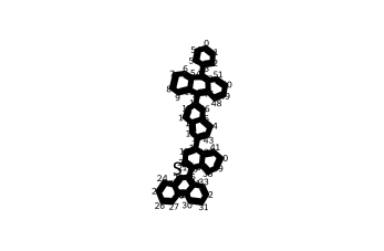 c1ccc(-c2c3ccccc3c(-c3ccc4cc(-c5cc6sc7c8ccccc8c8ccccc8c7c6c6ccccc56)ccc4c3)c3ccccc23)cc1